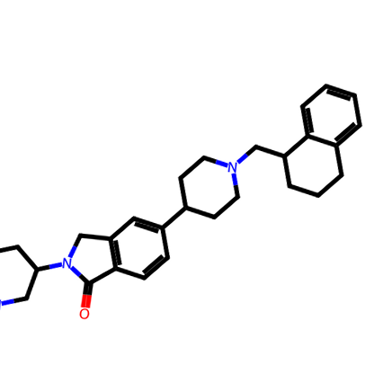 O=C1c2ccc(C3CCN(CC4CCCc5ccccc54)CC3)cc2CN1C1CCCNC1